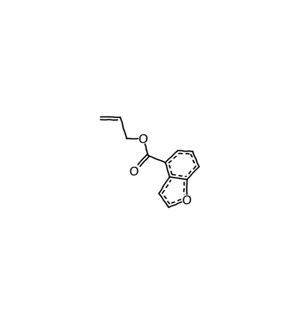 C=CCOC(=O)c1cccc2occc12